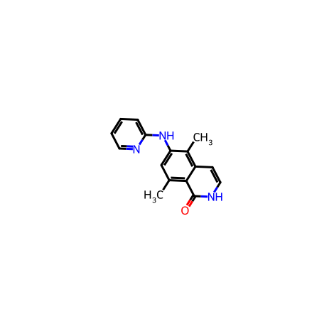 Cc1c(Nc2ccccn2)cc(C)c2c(=O)[nH]ccc12